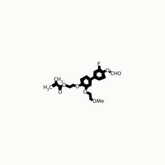 C=C(C)C(=O)OCCOc1ccc(-c2ccc(OC=O)c(F)c2)cc1OCCOC